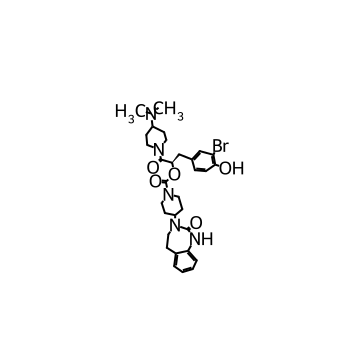 CN(C)C1CCN(C(=O)[C@@H](Cc2ccc(O)c(Br)c2)OC(=O)N2CCC(N3CCc4ccccc4NC3=O)CC2)CC1